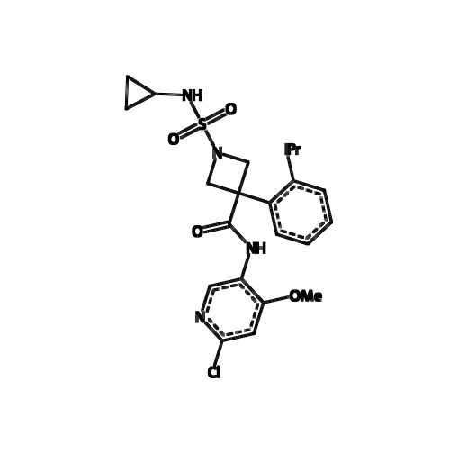 COc1cc(Cl)ncc1NC(=O)C1(c2ccccc2C(C)C)CN(S(=O)(=O)NC2CC2)C1